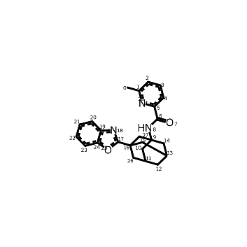 Cc1cccc(C(=O)NC23CC4CC(C2)CC(c2nc5ccccc5o2)(C4)C3)n1